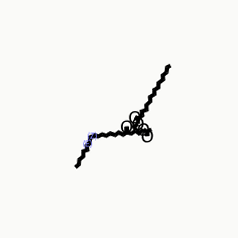 CCCCCC/C=C/C=C\CCCCCCCC(=O)CC(COC(C)=O)COC(=O)CCCCCCCCCCCCCCC